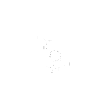 O=C(O)Nc1ccc(O)c(C(F)(F)F)c1